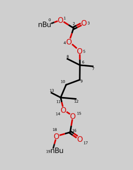 CCCCOC(=O)OOC(C)(C)CCC(C)(C)OOC(=O)OCCCC